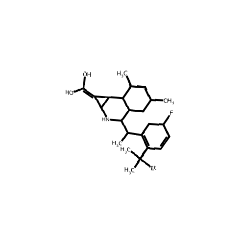 CCC(C)(C)C1=C(C(C)C2NC3C(=C(O)O)C3C3C(C)CC(C)CC23)CC(F)C=C1